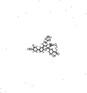 COCCCN1C(=O)COc2ccc(N(C(=O)[C@H]3CN(C(=O)OC(C)(C)C)CC[C@@H]3c3cccc(-c4ccc(O)c(F)c4)c3)C3CC3)cc21